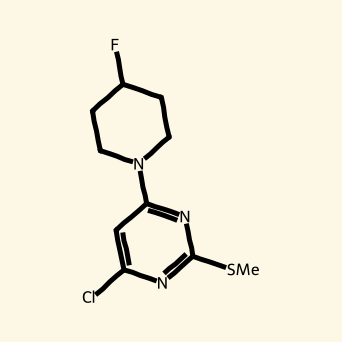 CSc1nc(Cl)cc(N2CCC(F)CC2)n1